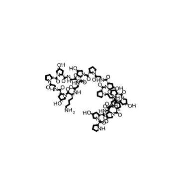 NCCCC[C@H](NC(=O)CNC(=O)[C@@H]1C[C@@H](O)CN1C(=O)[C@@H]1CCCN1C(=O)CNC(=O)[C@@H]1C[C@@H](O)CN1C(=O)[C@@H]1CCCN1C(=O)CNC(=O)[C@@H]1C[C@@H](O)CN1C(=O)[C@@H]1CCCN1C(=O)CNC(=O)[C@@H]1C[C@@H](O)CN1C(=O)[C@@H]1CCCN1C(=O)CNC(=O)[C@@H]1C[C@@H](O)CN1C(=O)[C@@H]1CCCN1)C(=O)N1C[C@H](O)C[C@H]1C(=O)NCC(=O)N1CCC[C@H]1C(=O)N1C[C@H](O)C[C@H]1C(=O)NCC(=O)O